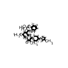 Cc1cnn(C2CCN(c3nc4c([C@@H](C)Nc5ccccc5C(=O)O)cc(C)cn4c(=O)c3C)CC2)c1